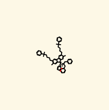 Cc1cc2c(cc1CCCCC(C)(C)c1ccccc1)-c1cc(CCCCC(C)(C)c3ccccc3)c(C)cc1[CH]2[Zr](=[C](Cc1ccccc1)Cc1ccccc1)[CH]1C=CC=C1